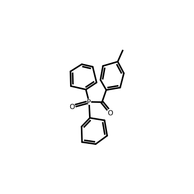 Cc1ccc(C(=O)P(=O)(c2ccccc2)c2ccccc2)cc1